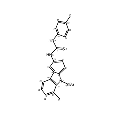 CCCCn1c2ccc(NC(=S)Nc3ccc(C)cc3)cc2c2ccnc(C)c21